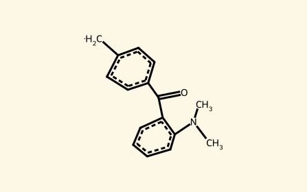 [CH2]c1ccc(C(=O)c2ccccc2N(C)C)cc1